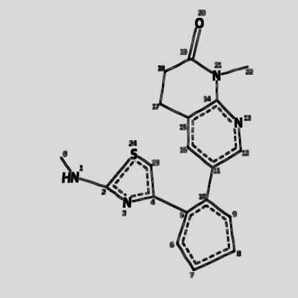 CNc1nc(-c2ccccc2-c2cnc3c(c2)CCC(=O)N3C)cs1